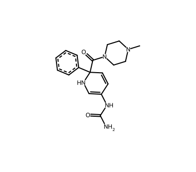 CN1CCN(C(=O)C2(c3ccccc3)C=CC(NC(N)=O)=CN2)CC1